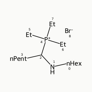 CCCCCCNC(CCCCC)[P+](CC)(CC)CC.[Br-]